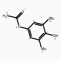 CC(C)(C)c1cc(OC(N)=S)cc(C(C)(C)C)c1O